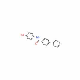 O=C(Nc1ccc(O)cc1)c1ccc(-c2ccccc2)cc1